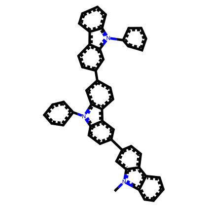 Cn1c2ccccc2c2ccc(-c3ccc4c(c3)c3ccc(-c5ccc6c7ccccc7n(-c7ccccc7)c6c5)cc3n4-c3ccccc3)cc21